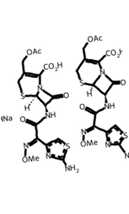 CO/N=C(/C(=O)N[C@@H]1C(=O)N2C(C(=O)O)=C(COC(C)=O)CS[C@H]12)c1csc(N)n1.CO/N=C(/C(=O)N[C@@H]1C(=O)N2C(C(=O)O)=C(COC(C)=O)CS[C@H]12)c1csc(N)n1.[NaH]